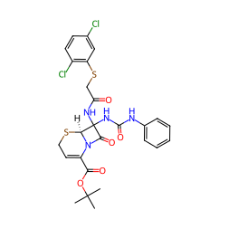 CC(C)(C)OC(=O)C1=CCS[C@@H]2N1C(=O)C2(NC(=O)CSc1cc(Cl)ccc1Cl)NC(=O)Nc1ccccc1